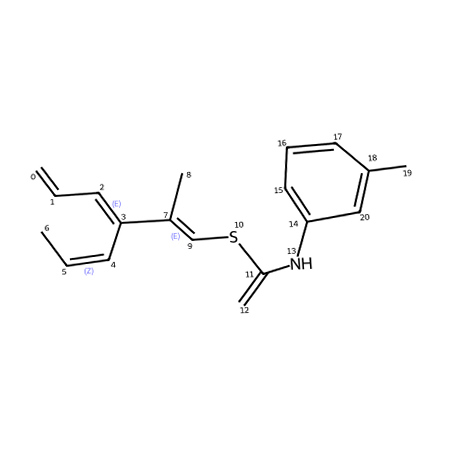 C=C/C=C(\C=C/C)C(/C)=C/SC(=C)Nc1cccc(C)c1